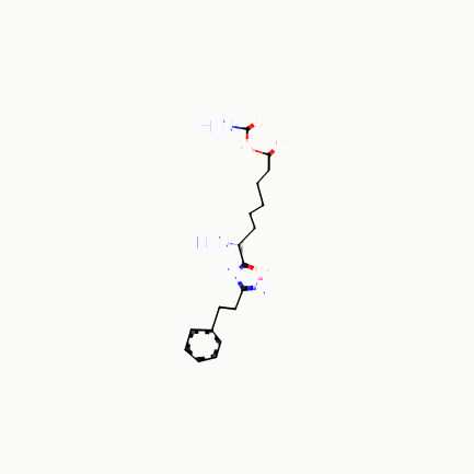 NC(=O)OC(=O)CCCCC[C@H](N)c1nc(CCc2ccccc2)no1